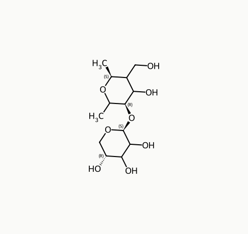 CC1O[C@@H](C)C(CO)C(O)[C@H]1O[C@@H]1OC[C@@H](O)C(O)C1O